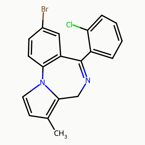 Cc1ccn2c1CN=C(c1ccccc1Cl)c1cc(Br)ccc1-2